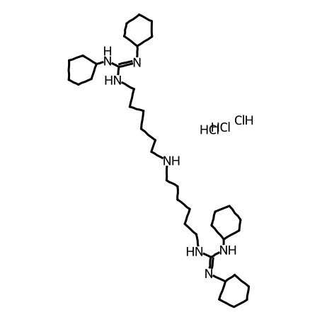 C(CCCNC(=NC1CCCCC1)NC1CCCCC1)CCNCCCCCCNC(=NC1CCCCC1)NC1CCCCC1.Cl.Cl.Cl